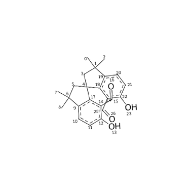 CC1(C)CC2(CC(C)(C)c3ccc(O)c(C=O)c32)c2c1ccc(O)c2C=O